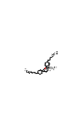 O=C=NCCCCC1C=CC2(CC1)C1=CCC3(C(=O)O)C4(C=CC(CCCCN=C=O)CC4)C3(C(=O)O)C12